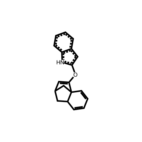 C1=CC2CC3C=C(Oc4cc5ccccc5[nH]4)C2(C=C1)C3